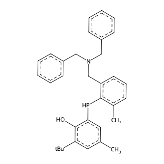 Cc1cc(Pc2c(C)cccc2CN(Cc2ccccc2)Cc2ccccc2)c(O)c(C(C)(C)C)c1